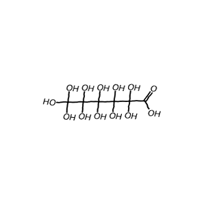 O=C(O)C(O)(O)C(O)(O)C(O)(O)C(O)(O)C(O)(O)O